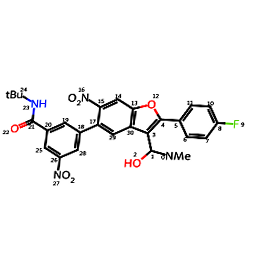 CNC(O)c1c(-c2ccc(F)cc2)oc2cc([N+](=O)[O-])c(-c3cc(C(=O)NC(C)(C)C)cc([N+](=O)[O-])c3)cc12